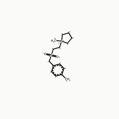 Cc1ccc(CS(=O)(=O)CC[N+]2(C)CCCC2)cc1